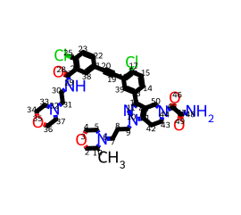 C[C@H]1COCCN1CCCn1nc(-c2ccc(Cl)c(C#Cc3ccc(Cl)c(C(=O)NCCN4CCOCC4)c3)c2)c2c1CCN(C(=O)C(N)=O)C2